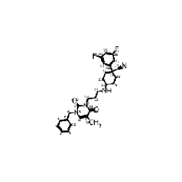 Cc1cn(Cc2ccccc2)c(=O)n(CCCNC2CCC(C#N)(c3cc(F)cc(F)c3)CC2)c1=O